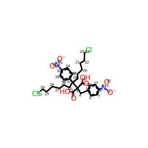 O=C(O)C(Cc1ccc([N+](=O)[O-])cc1)(C(=O)O)C(CCCCCCCl)(CCCCCCCl)c1ccc([N+](=O)[O-])cc1